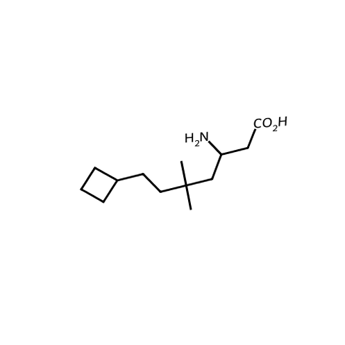 CC(C)(CCC1CCC1)CC(N)CC(=O)O